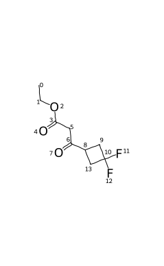 CCOC(=O)CC(=O)C1CC(F)(F)C1